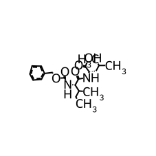 CCC(C)[C@H](NC(=O)OCc1ccccc1)C(=O)N[C@@H](CC(C)C)C(=O)O